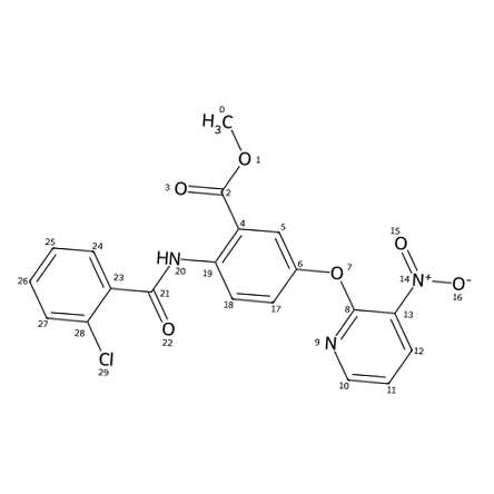 COC(=O)c1cc(Oc2ncccc2[N+](=O)[O-])ccc1NC(=O)c1ccccc1Cl